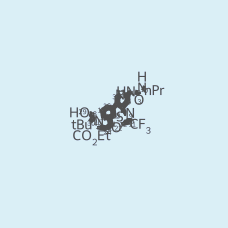 CCCNC(=O)Nc1cc(-c2nc(C(F)(F)F)cs2)c(-c2ccc3c(c2)c(=O)c(C(=O)OCC)cn3C(CO)C(C)(C)C)cn1